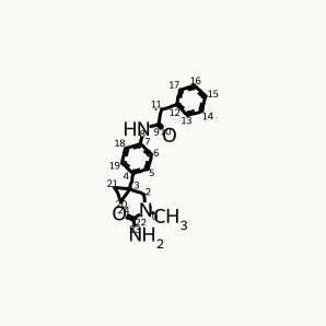 CN(CC1(c2ccc(NC(=O)[CH]c3ccccc3)cc2)CC1)C(N)=O